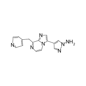 Nn1cc(-c2cnc3c(Cc4ccncc4)nccn23)cn1